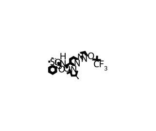 C[C@@H]1CN(c2nc(-n3ccc(OCC(C)(C)C(F)(F)F)n3)ccc2C(=O)NS(=O)(=O)c2ccccc2[Si](C)(C)C)C(C)(C)C1